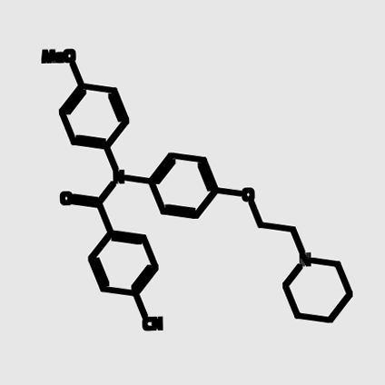 COc1ccc(N(C(=O)c2ccc(C#N)cc2)c2ccc(OCCN3CCCCC3)cc2)cc1